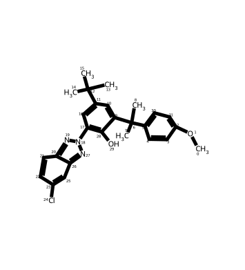 COc1ccc(C(C)(C)c2cc(C(C)(C)C)cc(-n3nc4ccc(Cl)cc4n3)c2O)cc1